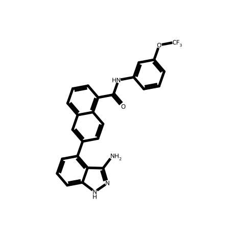 Nc1n[nH]c2cccc(-c3ccc4c(C(=O)Nc5cccc(OC(F)(F)F)c5)cccc4c3)c12